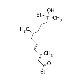 CCC(=O)/C=C(C)/C=C/CC(C)CCCC(C)(O)CC